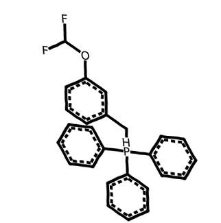 FC(F)Oc1cccc(C[PH](c2ccccc2)(c2ccccc2)c2ccccc2)c1